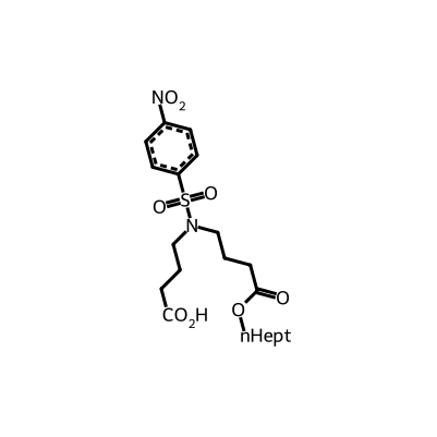 CCCCCCCOC(=O)CCCN(CCCC(=O)O)S(=O)(=O)c1ccc([N+](=O)[O-])cc1